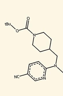 CN(CC1CCN(C(=O)OC(C)(C)C)CC1)c1ccc(C#N)cn1